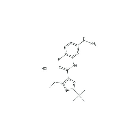 CCn1nc(C(C)(C)C)cc1C(=O)Nc1cc(NN)ccc1F.Cl